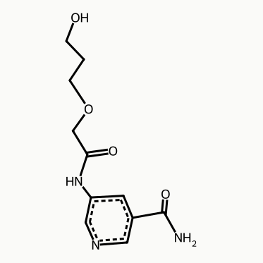 NC(=O)c1cncc(NC(=O)COCCCO)c1